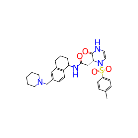 Cc1ccc(S(=O)(=O)N2C=CNC(=O)[C@H]2CC(=O)N[C@@H]2CCCc3cc(CN4CCCCC4)ccc32)cc1